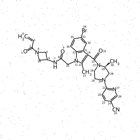 C=CC(=O)N1CC(NC(=O)Cn2c(C)c(C(=O)N3CCN(c4ccc(C#N)cn4)C[C@@H]3C)c3cc(Br)ccc32)C1